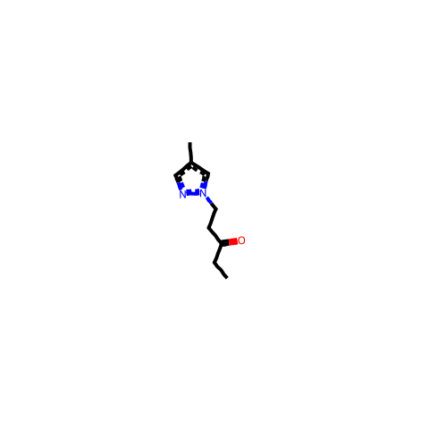 CCC(=O)CCn1cc(C)cn1